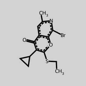 CCSc1oc2c(Br)nc(C)cc2c(=O)c1C1CC1